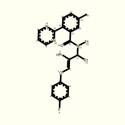 CCC/C(=C\Oc1ccc(F)cc1)C(CC)N(CC)C(=O)c1cc(C)ccc1-c1ncccn1